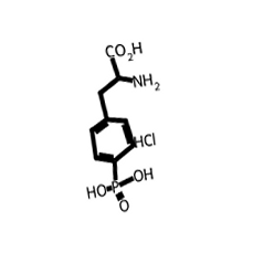 Cl.NC(Cc1ccc(P(=O)(O)O)cc1)C(=O)O